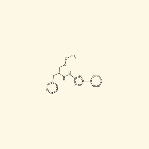 COOCC(Cc1ccccc1)NNc1nc(-c2ccccc2)cs1